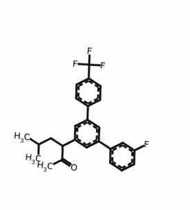 CC(=O)C(CC(C)C)c1cc(-c2ccc(C(F)(F)F)cc2)cc(-c2cccc(F)c2)c1